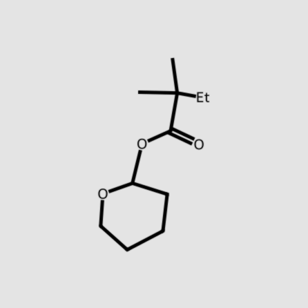 CCC(C)(C)C(=O)OC1CCCCO1